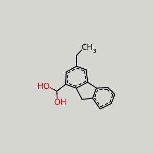 CCc1cc2c(c(C(O)O)c1)Cc1ccccc1-2